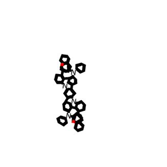 c1ccc(N(c2ccccc2)c2ccc3c4cc5c(cc4n4c6cccc(-c7ccc8ccccc8c7)c6c2c34)c2ccc(N(c3ccccc3)c3ccccc3)c3c4c(-c6ccc7ccccc7c6)cccc4n5c23)cc1